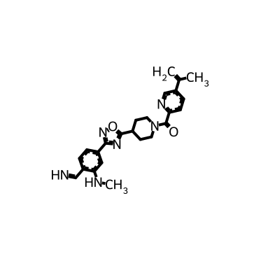 C=C(C)c1ccc(C(=O)N2CCC(c3nc(-c4ccc(C=N)c(NC)c4)no3)CC2)nc1